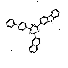 c1ccc(-c2ccc(-c3nc(-c4ccc5ccccc5c4)nc(-c4ccc5c(c4)sc4ccccc45)n3)cc2)cc1